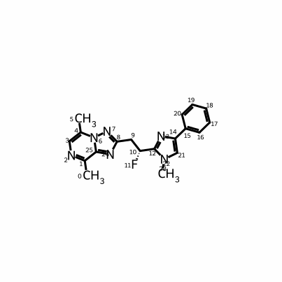 Cc1ncc(C)n2nc(C[C@@H](F)c3nc(-c4ccccc4)cn3C)nc12